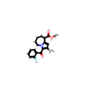 Cc1cc2n(c1C(=O)c1ccccc1F)CCCCC2C(=O)OC(C)C